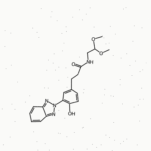 COC(CNC(=O)CCc1ccc(O)c(-n2nc3ccccc3n2)c1)OC